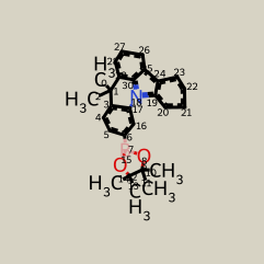 CC1(C)c2ccc(B3OC(C)(C)C(C)(C)O3)cc2-n2c3ccccc3c3cccc1c32